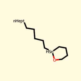 CCCCCCCCCCC[CH2][SnH]1[CH2]CCC[O]1